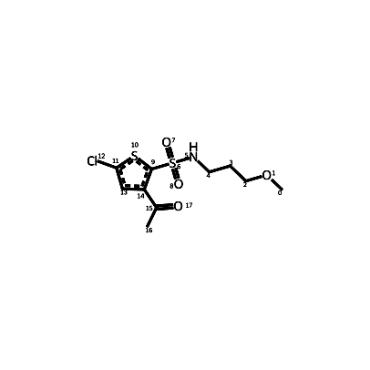 COCCCNS(=O)(=O)c1sc(Cl)cc1C(C)=O